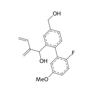 C=CC(=C)C(O)c1cc(CO)ccc1-c1cc(OC)ccc1F